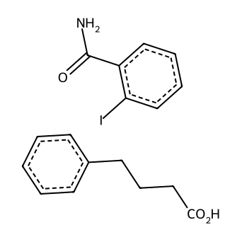 NC(=O)c1ccccc1I.O=C(O)CCCc1ccccc1